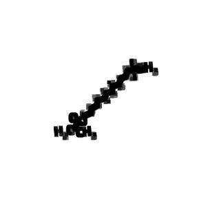 C=C(C)C(=O)OCCCCCCCCCCCCCC([SiH3])(I)I